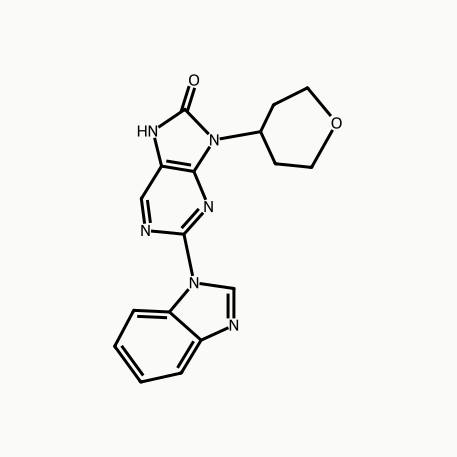 O=c1[nH]c2cnc(-n3cnc4ccccc43)nc2n1C1CCOCC1